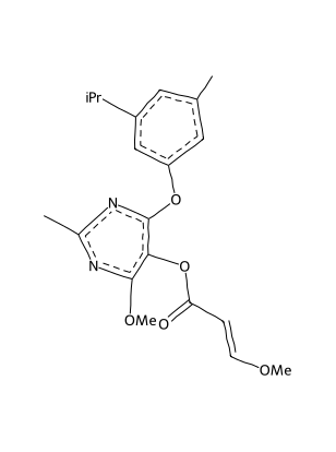 COC=CC(=O)Oc1c(OC)nc(C)nc1Oc1cc(C)cc(C(C)C)c1